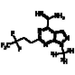 [2H]C([2H])([2H])n1ncc2c(C(=N)N)nc(CCC(F)(F)C(F)(F)F)nc21